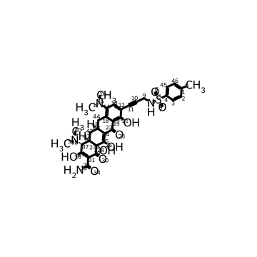 Cc1ccc(S(=O)(=O)NCC#Cc2cc(N(C)C)c3c(c2O)C(=O)C2=C(O)[C@@]4(O)C(=O)C(C(N)=O)=C(O)[C@H](N(C)C)[C@H]4C[C@H]2C3)cc1